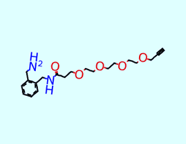 C#CCOCCOCCOCCOCCC(=O)NCc1ccccc1CN